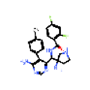 N#Cc1ccc(-c2c(N)ncnc2C(NC(=O)c2ccc(F)cc2F)C2(N)CCNC2)cc1